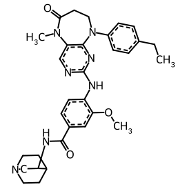 CCc1ccc(N2CCC(=O)N(C)c3cnc(Nc4ccc(C(=O)NC5CN6CCC5CC6)cc4OC)nc32)cc1